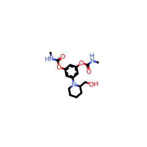 CNC(=O)Oc1cc(OC(=O)NC)cc(N2CCCCC2CO)c1